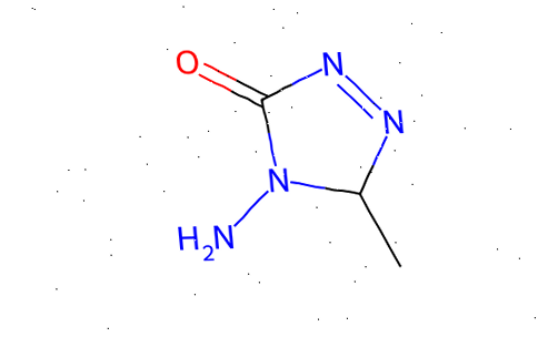 CC1N=NC(=O)N1N